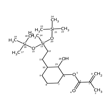 C=C(C)C(=O)OC1CCCC(CC[Si](C)(O[Si](C)(C)C)O[Si](C)(C)C)C1O